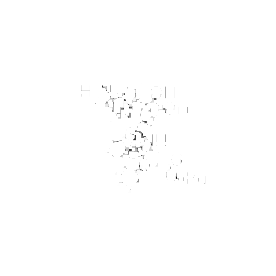 CCCCOC(=O)CC[C@H](NP(=O)(OC[C@@]1(C)O[C@@H](c2ccc3c(N)ncnn23)[C@H](O)[C@@H]1O)Oc1ccccc1)C(=O)OC1CCCCC1